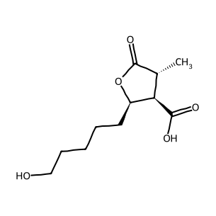 C[C@H]1C(=O)O[C@H](CCCCCO)[C@@H]1C(=O)O